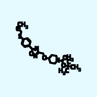 COCSc1ccc(-c2nc(COC3CCN(C(=O)OC(C)(C)C)CC3)no2)cc1